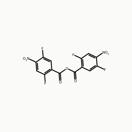 O=C(OC(=O)c1cc(F)c([N+](=O)[O-])cc1F)c1cc(F)c([N+](=O)[O-])cc1F